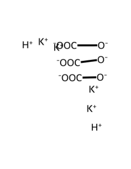 O=C([O-])[O-].O=C([O-])[O-].O=C([O-])[O-].[H+].[H+].[K+].[K+].[K+].[K+]